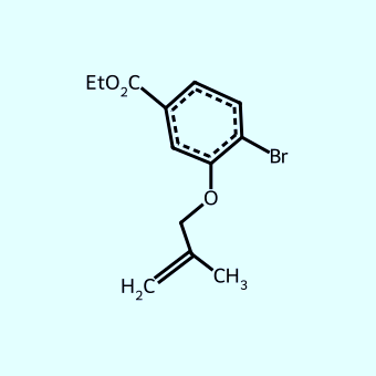 C=C(C)COc1cc(C(=O)OCC)ccc1Br